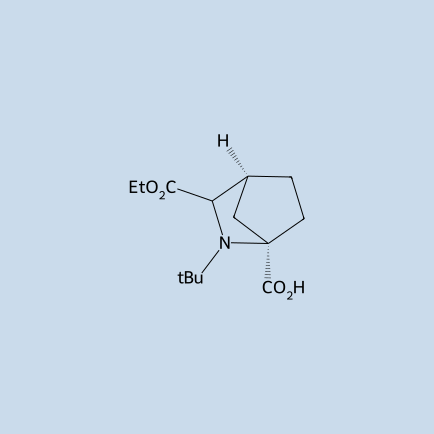 CCOC(=O)C1[C@H]2CC[C@](C(=O)O)(C2)N1C(C)(C)C